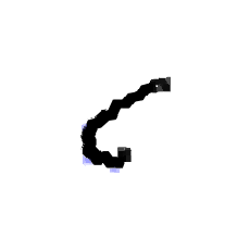 CC/C=C\C/C=C\C/C=C\CCCCCCCCC#N